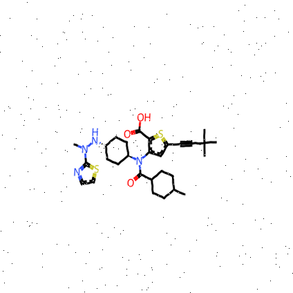 CC1CCC(C(=O)N(c2cc(C#CC(C)(C)C)sc2C(=O)O)[C@H]2CC[C@H](NN(C)c3nccs3)CC2)CC1